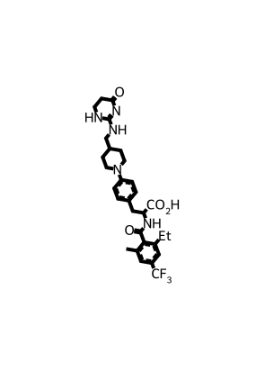 CCc1cc(C(F)(F)F)cc(C)c1C(=O)NC(Cc1ccc(N2CCC(CNC3=NC(=O)CCN3)CC2)cc1)C(=O)O